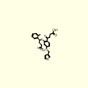 Cc1ccccc1C(CCC(=O)O)Oc1cc(OCc2ccsc2)ccc1C(=O)CCC(=O)O